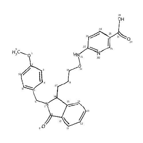 COc1ccc(CN2C(=O)c3ccccc3C2CCCONc2ccc(C(=O)O)cn2)cc1